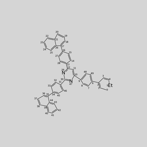 C/C=C(\C=C/CC)c1ccc(-c2cc(-c3ccc(-c4cccc5ccccc45)cc3)nc(-c3ccc(-c4cccc5ccccc45)cc3)n2)cc1